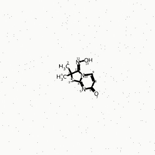 CC1(C)Sc2nc(=O)ccn2/C1=N\O